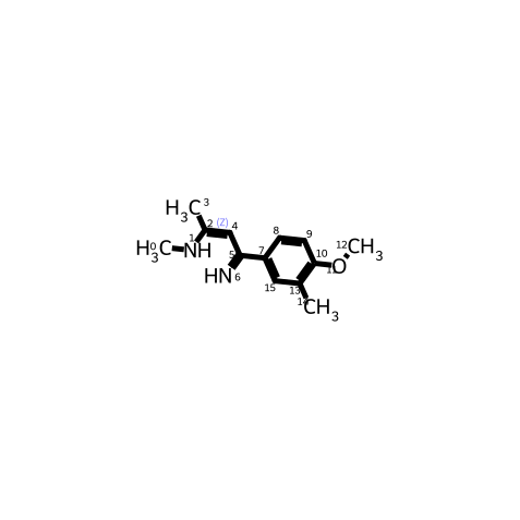 CN/C(C)=C\C(=N)c1ccc(OC)c(C)c1